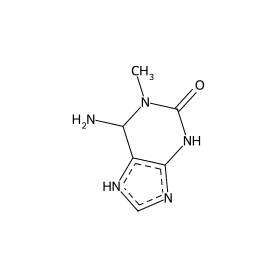 CN1C(=O)Nc2nc[nH]c2C1N